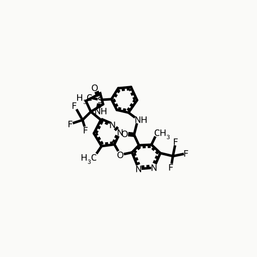 Cc1cc(C2(C(F)(F)F)CCC2)nnc1Oc1nnc(C(F)(F)F)c(C)c1C(=O)Nc1cccc(S(C)(=N)=O)c1